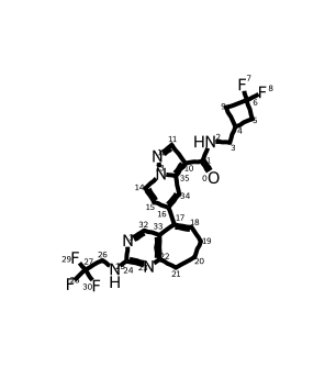 O=C(NCC1CC(F)(F)C1)c1cnn2ccc(C3=CCCCc4nc(NCC(F)(F)F)ncc43)cc12